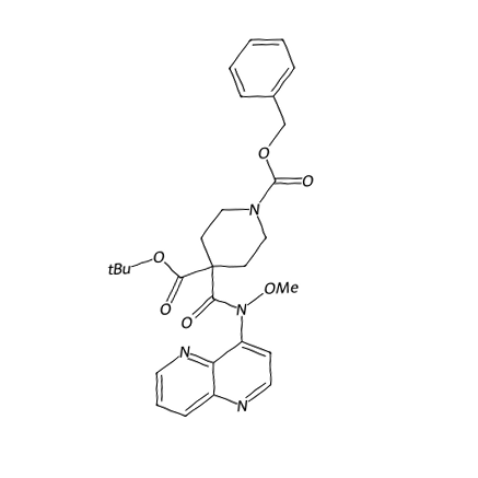 CON(C(=O)C1(C(=O)OC(C)(C)C)CCN(C(=O)OCc2ccccc2)CC1)c1ccnc2cccnc12